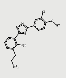 BCCc1cccc(-c2nnc(-c3ccc(OC(C)C)c(Cl)c3)s2)c1CC